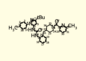 Cc1ccc(-n2nc(C(C)(C)C)cc2NC(=O)Nc2ccccc2CC2CCN(C(=O)c3cccc(C)n3)CC2)cc1